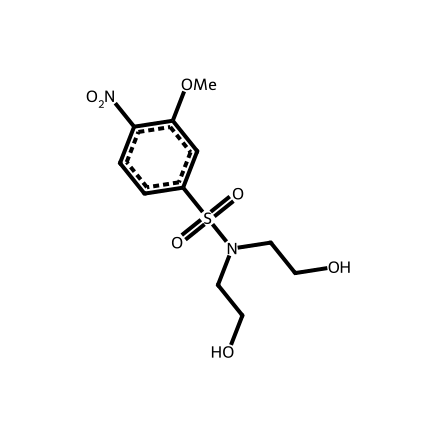 COc1cc(S(=O)(=O)N(CCO)CCO)ccc1[N+](=O)[O-]